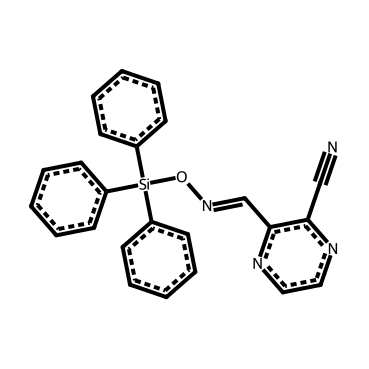 N#Cc1nccnc1/C=N/O[Si](c1ccccc1)(c1ccccc1)c1ccccc1